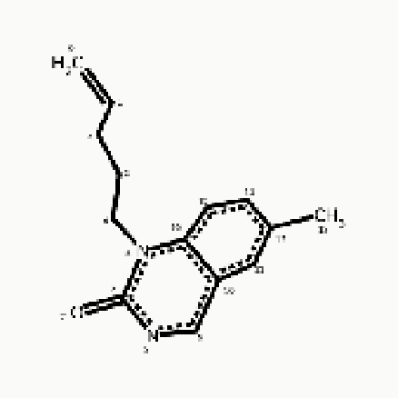 C=CCCCn1c(=O)ncc2cc(C)ccc21